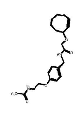 O=C(COC1C#CCCCCC1)NCc1ccc(OCCNC(=O)C(F)(F)F)cc1